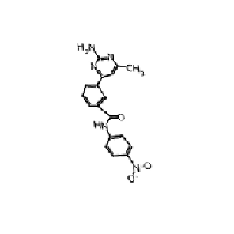 Cc1cc(-c2cccc(C(=O)Nc3ccc([N+](=O)[O-])cc3)c2)nc(N)n1